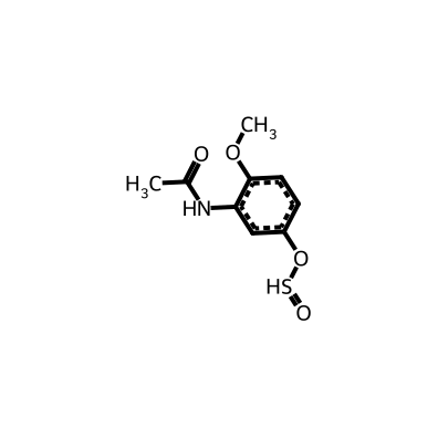 COc1ccc(O[SH]=O)cc1NC(C)=O